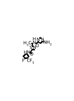 CC(NC(=O)c1cc(N)ncn1)c1ncc(C(=O)Nc2ccc(F)c(C(F)(F)F)c2)s1